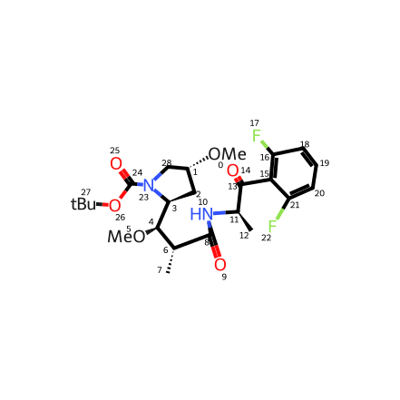 CO[C@@H]1C[C@@H]([C@H](OC)[C@@H](C)C(=O)N[C@H](C)C(=O)c2c(F)cccc2F)N(C(=O)OC(C)(C)C)C1